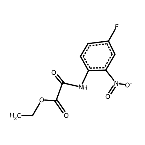 CCOC(=O)C(=O)Nc1ccc(F)cc1[N+](=O)[O-]